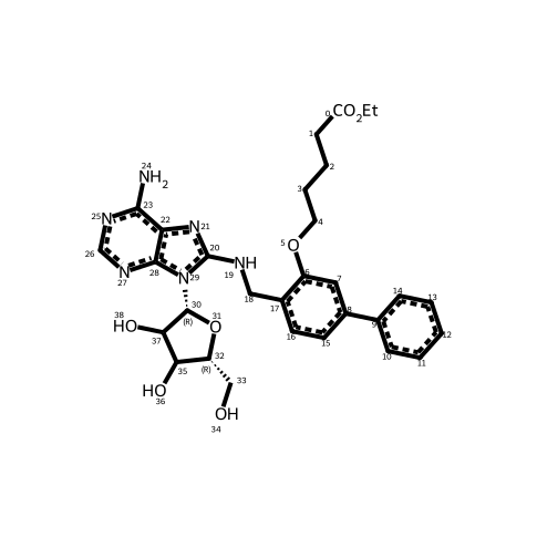 CCOC(=O)CCCCOc1cc(-c2ccccc2)ccc1CNc1nc2c(N)ncnc2n1[C@@H]1O[C@H](CO)C(O)C1O